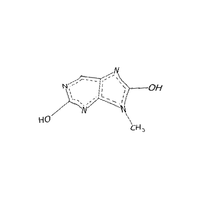 Cn1c(O)nc2cnc(O)nc21